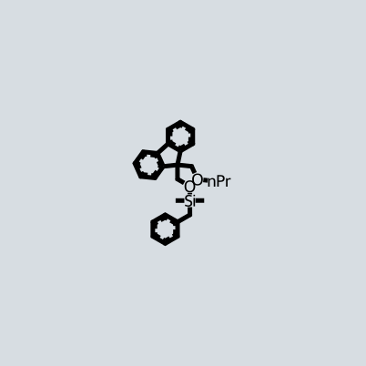 CCCOCC1(CO[Si](C)(C)Cc2ccccc2)c2ccccc2-c2ccccc21